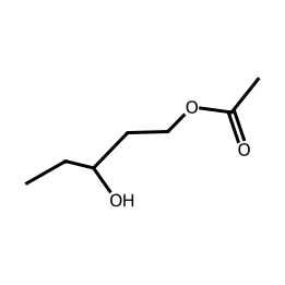 CCC(O)CCOC(C)=O